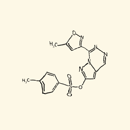 Cc1ccc(S(=O)(=O)Oc2cc3cnnc(-c4cc(C)on4)n3n2)cc1